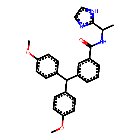 COc1ccc([C](c2ccc(OC)cc2)c2cccc(C(=O)NC(C)c3ncc[nH]3)c2)cc1